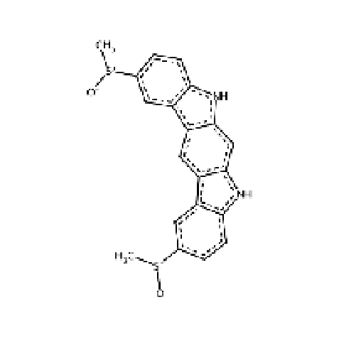 C[S+]([O-])c1ccc2[nH]c3cc4[nH]c5ccc([S+](C)[O-])cc5c4cc3c2c1